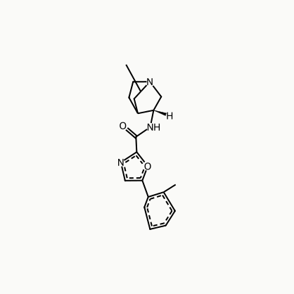 Cc1ccccc1-c1cnc(C(=O)N[C@H]2CN3CCC2CC3C)o1